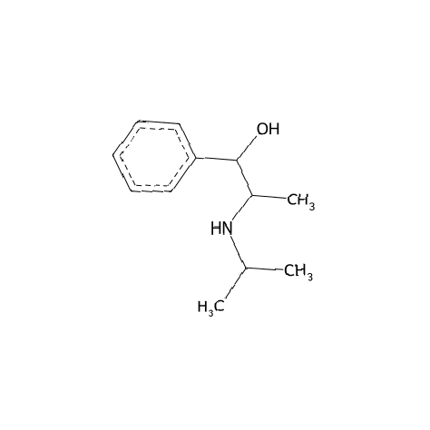 CC(C)NC(C)C(O)c1ccccc1